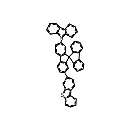 c1ccc2c(c1)-c1ccccc1C21c2cc(-c3ccc4c(c3)sc3ccccc34)ccc2-c2ccc(-n3c4ccccc4c4ccccc43)cc21